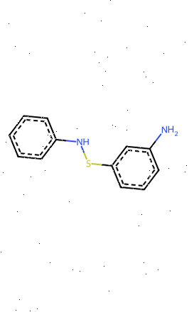 Nc1cccc(SNc2ccccc2)c1